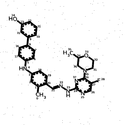 Cc1cc(Nc2ccc(-c3cccc(O)c3)cc2)ccc1/C=N/Nc1ncc(F)c(N2CCOC(C)C2)n1